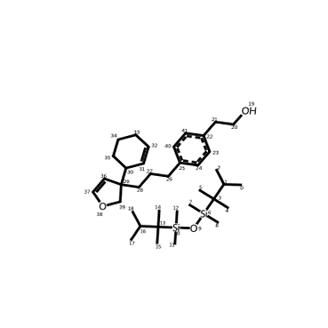 CC(C)C(C)(C)[Si](C)(C)O[Si](C)(C)C(C)(C)C(C)C.OCCc1ccc(CCCC2(C3C=CCCC3)C=COC2)cc1